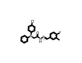 Cc1cc(/C=N/NC(=O)CN(c2ccccc2)c2ccc(Cl)cc2)ccc1F